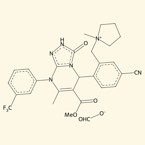 COC(=O)C1=C(C)N(c2cccc(C(F)(F)F)c2)c2n[nH]c(=O)n2C1c1ccc(C#N)cc1C[N+]1(C)CCCC1.O=C[O-]